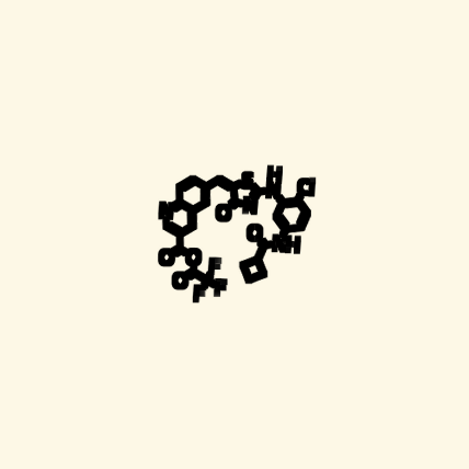 O=C1N=C(Nc2cc(NC(=O)C3CCC3)ccc2Cl)SC1=Cc1ccc2ncc(C(=O)OC(=O)C(F)(F)F)cc2c1